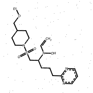 C=CN(O)C(CCCc1ncccn1)CS(=O)(=O)N1CCC(COCC)CC1